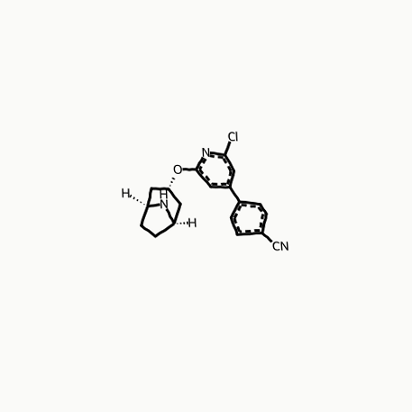 N#Cc1ccc(-c2cc(Cl)nc(O[C@@H]3C[C@H]4CC[C@@H](C3)N4)c2)cc1